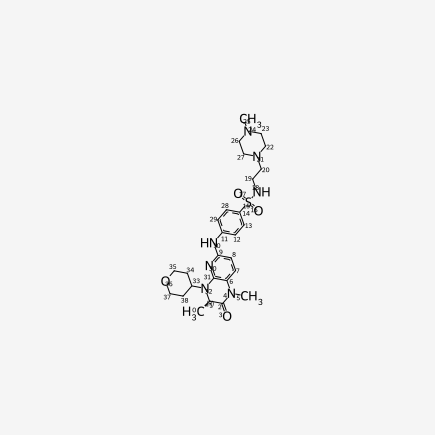 C[C@@H]1C(=O)N(C)c2ccc(Nc3ccc(S(=O)(=O)NCCN4CCN(C)CC4)cc3)nc2N1C1CCOCC1